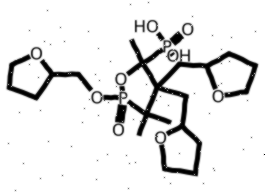 CC1(P(=O)(O)O)OP(=O)(OCC2CCCO2)C(C)(C)C1(CC1CCCO1)CC1CCCO1